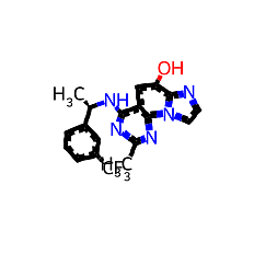 Cc1nc(N[C@H](C)c2cccc(C(F)(F)F)c2)c2cc(O)c3nccn3c2n1